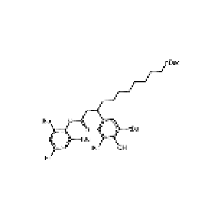 CCCCCCCCCCCCCCCCCCC(CC(=O)Oc1c(C(C)(C)C)cc(CC)cc1C(C)(C)C)c1cc(C(C)(C)C)c(O)c(C(C)(C)C)c1